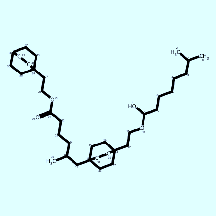 CC(C)CCCCCC(O)OCCC12CCC(CC(C)CCCC(=O)OCCC34CCC(CC3)CC4)(CC1)CC2